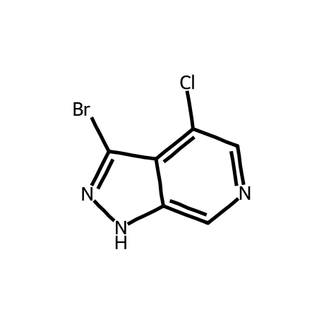 Clc1cncc2[nH]nc(Br)c12